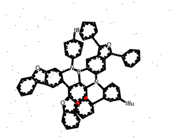 CC(C)(C)c1ccc(N2B3c4cc5c(-c6ccccc6)oc(-c6ccccc6)c5cc4N(c4ccc(C(C)(C)C)cc4-c4ccccc4)c4cc5c(oc6ccccc65)c(c43)-c3cc4c(cc32)oc2ccccc24)cc1